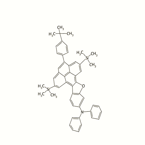 CC(C)(C)c1ccc(-c2cc3cc([Si](C)(C)C)cc4c5c6ccc(N(c7ccccc7)c7ccccc7)cc6oc5c5cc([Si](C)(C)C)cc2c5c34)cc1